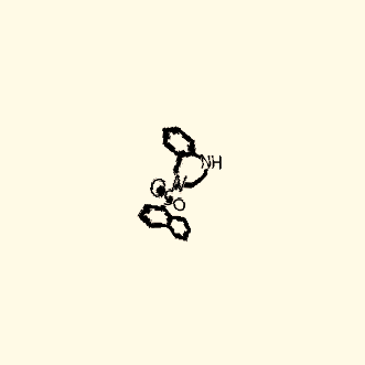 O=S(=O)(c1cccc2ccccc12)N1CCNc2ccccc2C1